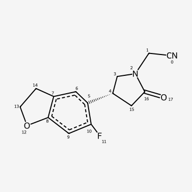 N#CCN1C[C@@H](c2cc3c(cc2F)OCC3)CC1=O